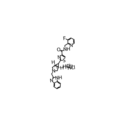 Cl.Cl.Cl.O=C(NCc1ncccc1F)c1csc(C2[C@H]3CN(Cc4nc5ccccc5[nH]4)C[C@@H]23)n1